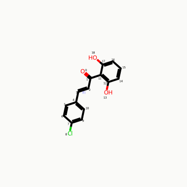 O=C(/C=C/c1ccc(Cl)cc1)c1c(O)cccc1O